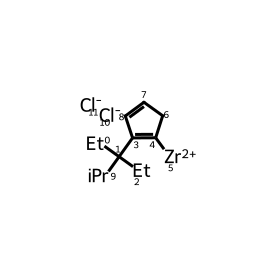 CCC(CC)(C1=[C]([Zr+2])CC=C1)C(C)C.[Cl-].[Cl-]